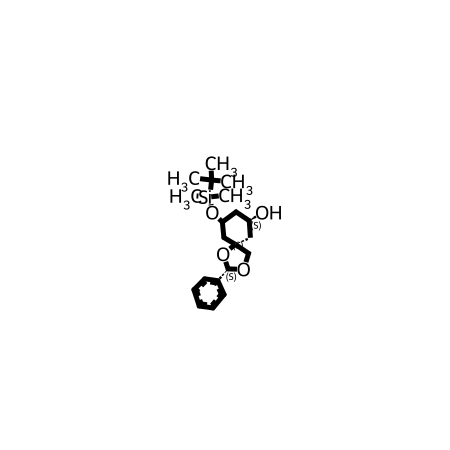 CC(C)(C)[Si](C)(C)OC1C[C@H](O)C[C@@]2(CO[C@H](c3ccccc3)O2)C1